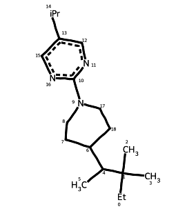 CCC(C)(C)C(C)C1CCN(c2ncc(C(C)C)cn2)CC1